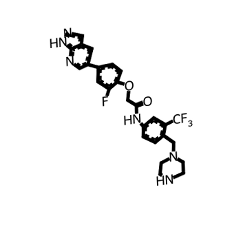 O=C(COc1ccc(-c2cnc3[nH]ncc3c2)cc1F)Nc1ccc(CN2CCNCC2)c(C(F)(F)F)c1